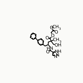 COC(=O)COC(=O)C(C)(CO)CC(Cc1ccc(-c2ccccc2)cc1)NC(=O)c1cnn[nH]1